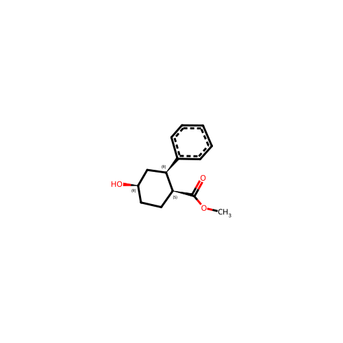 COC(=O)[C@H]1CC[C@@H](O)C[C@H]1c1ccccc1